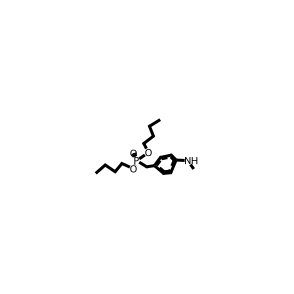 CCCCOP(=O)(Cc1ccc(NC)cc1)OCCCC